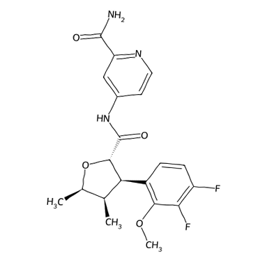 COc1c([C@H]2[C@@H](C)[C@@H](C)O[C@@H]2C(=O)Nc2ccnc(C(N)=O)c2)ccc(F)c1F